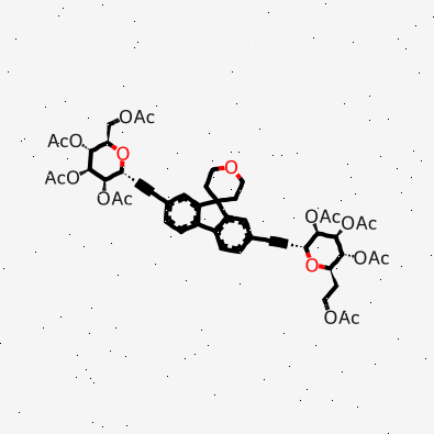 CC(=O)OCC[C@H]1O[C@H](C#Cc2ccc3c(c2)C2(CCOCC2)c2cc(C#C[C@H]4O[C@H](COC(C)=O)[C@@H](OC(C)=O)[C@H](OC(C)=O)[C@@H]4OC(C)=O)ccc2-3)[C@@H](OC(C)=O)[C@@H](OC(C)=O)[C@@H]1OC(C)=O